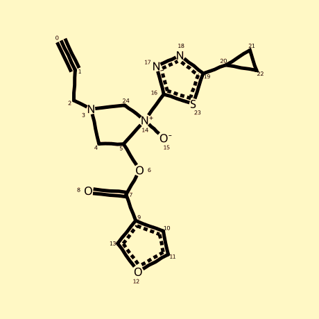 C#CCN1CC(OC(=O)c2ccoc2)[N+]([O-])(c2nnc(C3CC3)s2)C1